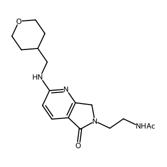 CC(=O)NCCN1Cc2nc(NCC3CCOCC3)ccc2C1=O